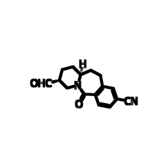 N#Cc1ccc2c(c1)CC[C@@H]1CC[C@H](C=O)CN1C2=O